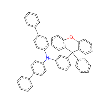 c1ccc(-c2ccc(N(c3ccc(-c4ccccc4)cc3)c3cccc(C4(c5ccccc5)c5ccccc5Oc5ccccc54)c3)cc2)cc1